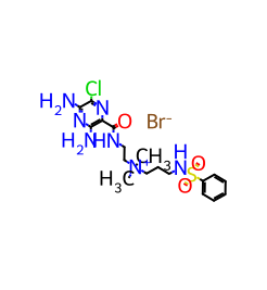 C[N+](C)(CCCNS(=O)(=O)c1ccccc1)CCNC(=O)c1nc(Cl)c(N)nc1N.[Br-]